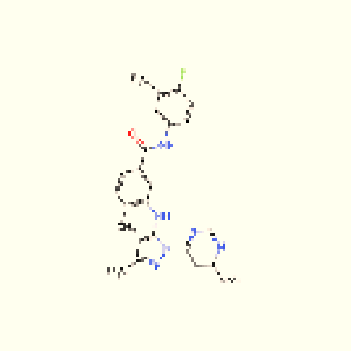 CNc1cc(-n2nc(C)cc2Nc2cc(C(=O)Nc3ccc(F)c(C(F)(F)F)c3)ccc2C)ncn1